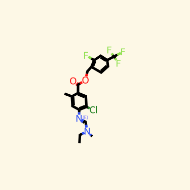 CCN(C)/C=N/c1cc(C)c(C(=O)OCc2ccc(C(F)(F)F)cc2F)cc1Cl